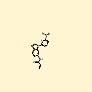 C=CC(=O)Nc1ccc2ncn(-c3cncc(N(CC)CC)n3)c2c1